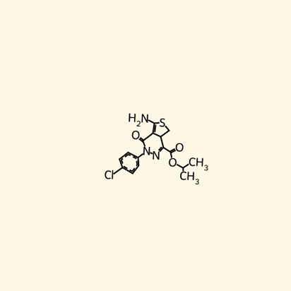 CC(C)OC(=O)C1=NN(c2ccc(Cl)cc2)C(=O)C2=C(N)SCC12